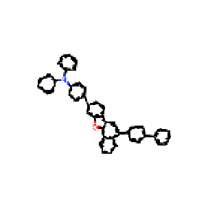 c1ccc(-c2ccc(-c3cc4c5ccc(-c6ccc(N(c7ccccc7)c7ccccc7)cc6)cc5oc4c4ccccc34)cc2)cc1